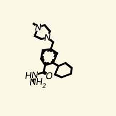 CN1CCN(Cc2ccc(C(=O)NN)c(C3CCCCC3)c2)CC1